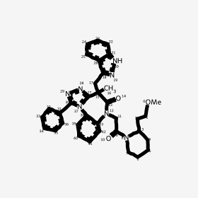 COCCC1CCCCN1C(=O)CN1C(=O)C(C)(Cc2n[nH]c3ccccc23)c2nnc(-c3ccccc3)n2-c2ccccc21